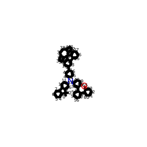 CC1(C)c2ccccc2-c2ccc(N(c3ccc(-c4ccc5c(c4)-c4ccccc4C54c5ccccc5C=Cc5ccccc54)cc3)c3ccc4c(c3)-c3ccccc3-c3ccccc3O4)cc21